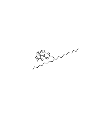 CCCCCCCCCCC(CCCCCCCCC)CC(S)OC(CC)OC(O)([PH2]=O)C(=O)OC